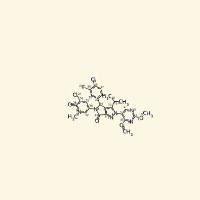 COc1ncc(-n2nc3c(c2C(C)C)C(c2ccc(Cl)c(F)c2)N(c2cc(Cl)c(=O)n(C)c2)C3=O)c(OC)n1